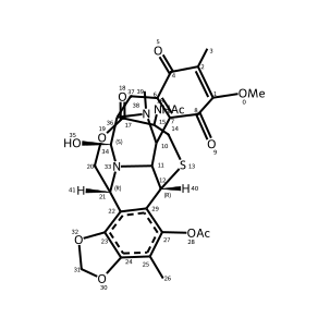 COC1=C(C)C(=O)C2=C(C1=O)C1C3[C@@H]4SCC(NC(C)=O)C(=O)OC[C@@H](c5c6c(c(C)c(OC(C)=O)c54)OCO6)N3[C@@H](O)C(C2)N1C